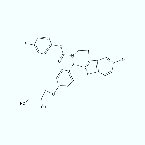 O=C(Oc1ccc(F)cc1)N1CCc2c([nH]c3ccc(Br)cc23)C1c1ccc(OCC(O)CO)cc1